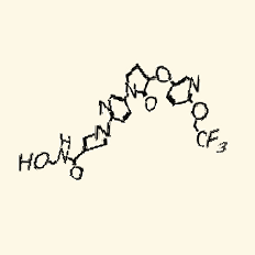 O=C(NCO)C1CN(c2ccc(N3CC[C@@H](Oc4ccc(OCC(F)(F)F)nc4)C3=O)cn2)C1